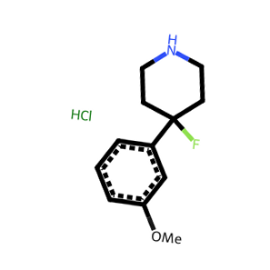 COc1cccc(C2(F)CCNCC2)c1.Cl